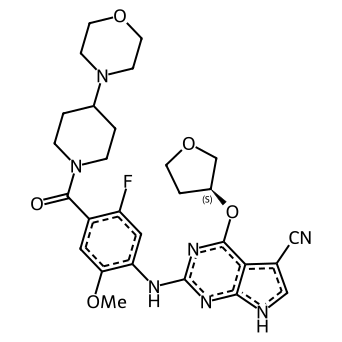 COc1cc(C(=O)N2CCC(N3CCOCC3)CC2)c(F)cc1Nc1nc(O[C@H]2CCOC2)c2c(C#N)c[nH]c2n1